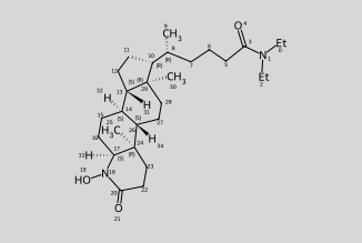 CCN(CC)C(=O)CCC[C@@H](C)[C@H]1CC[C@H]2[C@@H]3CC[C@@H]4N(O)C(=O)CC[C@]4(C)[C@H]3CC[C@]12C